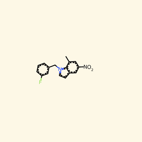 Cc1cc([N+](=O)[O-])cc2ccn(Cc3cccc(F)c3)c12